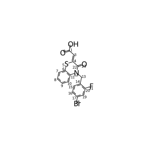 O=C(O)C=C1Sc2ccccc2N(Cc2ccc(Br)cc2F)C1=O